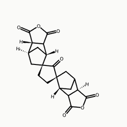 O=C1OC(=O)[C@@H]2C3C[C@H](C12)[C@@]1(CC[C@]2(C[C@@H]4C[C@@H]2C2C(=O)OC(=O)[C@H]24)C1=O)C3